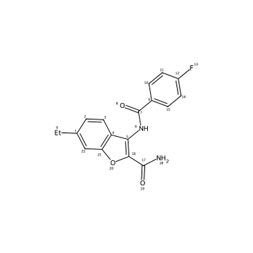 CCc1ccc2c(NC(=O)c3ccc(F)cc3)c(C(N)=O)oc2c1